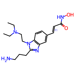 CCN(CC)CCn1c(CCCN)nc2cc(/C=C/C(=O)NO)ccc21